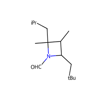 CC(C)CC1(C)C(C)C(CC(C)(C)C)N1C=O